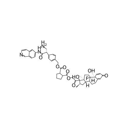 C[C@@H]1C[C@H]2[C@@H]3CCC4=CC(=O)C=C[C@]4(C)[C@@]3(F)[C@@H](O)C[C@]2(C)[C@@]1(O)C(=O)COC(=O)C1CCCC1C(=O)OCc1ccc([C@@H](CN)C(=O)Nc2ccc3cnccc3c2)cc1